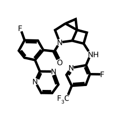 O=C(c1cc(F)ccc1-c1ncccn1)N1CC2CC23CC(Nc2ncc(C(F)(F)F)cc2F)C13